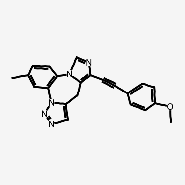 COc1ccc(C#Cc2ncn3c2Cc2cnnn2-c2cc(C)ccc2-3)cc1